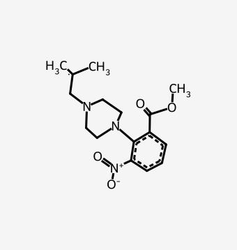 COC(=O)c1cccc([N+](=O)[O-])c1N1CCN(C[C](C)C)CC1